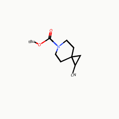 CC(C)(C)OC(=O)N1CCC2(CC1)CC2C#N